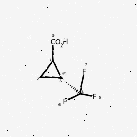 O=C(O)C1C[C@H]1C(F)(F)F